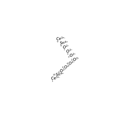 [Ce+3].[Ce+3].[O-2].[O-2].[O-2].[O-2].[O-2].[O-2].[O-2].[Sn+4].[Sn+4]